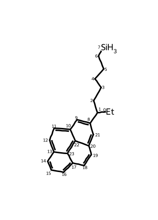 CCC(CCCCC[SiH3])c1cc2ccc3cccc4ccc(c1)c2c34